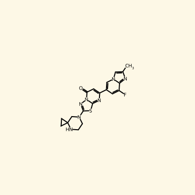 Cc1cn2cc(-c3cc(=O)n4nc(N5CCNC6(CC6)C5)sc4n3)cc(F)c2n1